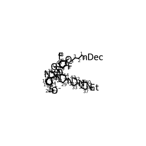 CCCCCCCCCCCCCCOc1c(F)cc(S(=O)(=O)c2cnc3ccc([S+](C)[O-])cc3c2N2CCC(N3CCC(N4CCN(CC)CC4)CC3)CC2)cc1F